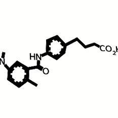 Cc1ccc(N(C)C)cc1C(=O)Nc1ccc(CCCC(=O)O)cc1